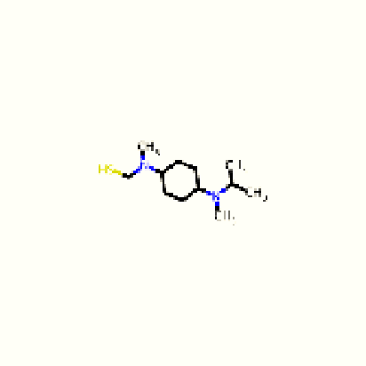 CC(C)N(C)C1CCC(N(C)CS)CC1